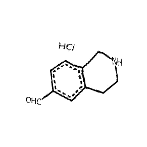 Cl.O=Cc1ccc2c(c1)CCNC2